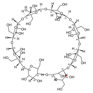 OCC1O[C@H]2O[C@@H]3C(CO)O[C@H](O[C@@H]4C(CO)O[C@H](O[C@@H]5C(CO)O[C@H](O[C@@H]6C(CO)O[C@H](O[C@@H]7C(CO)O[C@@H](O[C@@H]8C(CO)O[C@H](O[C@@H]9C(CO)O[C@H](O[C@H](C2O)[C@@H]1O)C(O)[C@H]9O)C(O)[C@H]8O)C(O)[C@H]7O)C(O)[C@H]6O)C(O)[C@H]5O)C(O)[C@H]4O)C(O)[C@H]3O